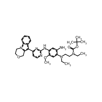 CCN(CCN(CC)c1cc(OC)c(Nc2nccc(-c3c4n(c5ccccc35)CCOC4)n2)cc1N)C(=O)OC(C)(C)C